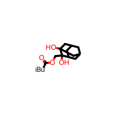 CCC(C)C(=O)OCC1(O)C2CC3CC(C2)CC1(O)C3